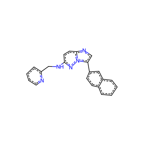 c1ccc(CNc2ccc3ncc(-c4ccc5ccccc5c4)n3n2)nc1